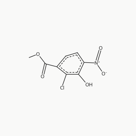 COC(=O)c1ccc([N+](=O)[O-])c(O)c1Cl